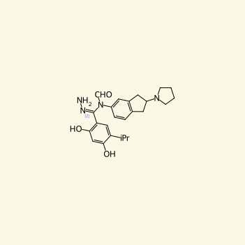 CC(C)c1cc(/C(=N/N)N(C=O)c2ccc3c(c2)CC(N2CCCC2)C3)c(O)cc1O